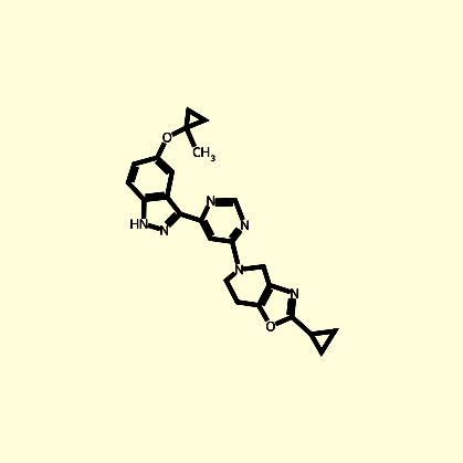 CC1(Oc2ccc3[nH]nc(-c4cc(N5CCc6oc(C7CC7)nc6C5)ncn4)c3c2)CC1